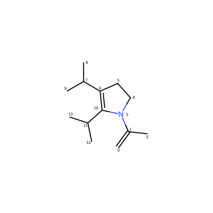 C=C(C)N1CCC(C(C)C)=C1C(C)C